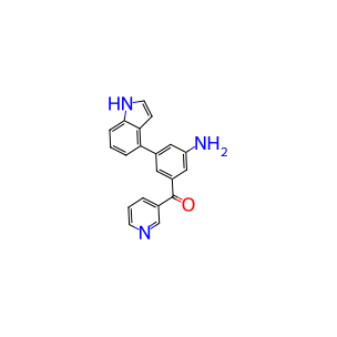 Nc1cc(C(=O)c2cccnc2)cc(-c2cccc3[nH]ccc23)c1